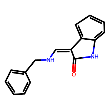 O=C1Nc2ccccc2/C1=C/NCc1ccccc1